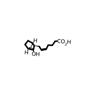 O=C(O)CCC/C=C\C[C@H]1[C@@H](O)[C@H]2CC[C@@H]1O2